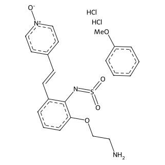 COc1ccccc1.Cl.Cl.NCCOc1cccc(C=Cc2cc[n+]([O-])cc2)c1N=S(=O)=O